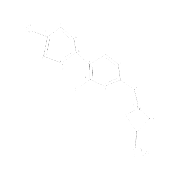 O=C(O)C1CN(Cc2ccc(-c3ccc(Br)cn3)c(F)c2)C1